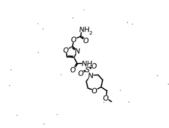 COCC1CCN(S(=O)(=O)NC(=O)c2coc(OC(N)=O)n2)CCO1